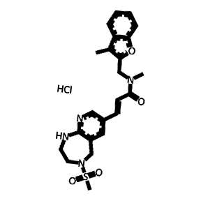 Cc1c(CN(C)C(=O)/C=C/c2cnc3c(c2)CN(S(C)(=O)=O)CCN3)oc2ccccc12.Cl